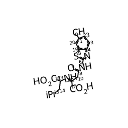 Cc1ccc2nc(NC(=O)CC(NC(CC(C)C)C(=O)O)C(=O)O)sc2c1